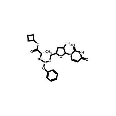 CC1CC(COP(N[C@@H](C)C(=O)OC2CCC2)Oc2ccccc2)OC1n1ccc(=O)[nH]c1=O